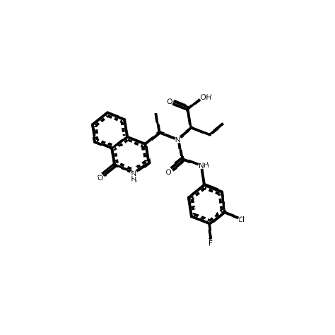 CCC(C(=O)O)N(C(=O)Nc1ccc(F)c(Cl)c1)C(C)c1c[nH]c(=O)c2ccccc12